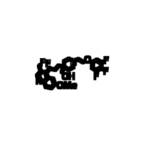 COc1ccc2ncc(CF)c([C@@H](F)CCC3(CO)CCN(CCOc4cc(F)c(F)c(F)c4)CC3)c2c1